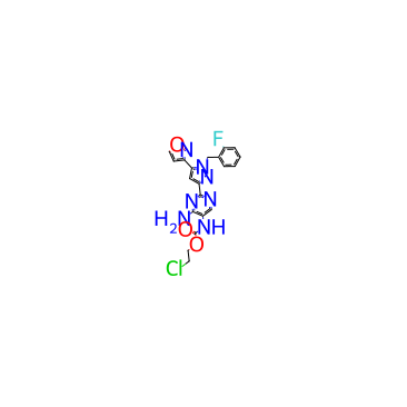 Nc1nc(-c2cc(-c3ccon3)n(Cc3ccccc3F)n2)ncc1NC(=O)OCCCl